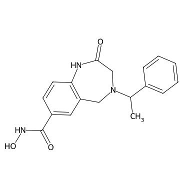 CC(c1ccccc1)N1CC(=O)Nc2ccc(C(=O)NO)cc2C1